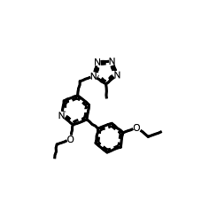 CCOc1cccc(-c2cc(Cn3nnnc3C)cnc2OCC)c1